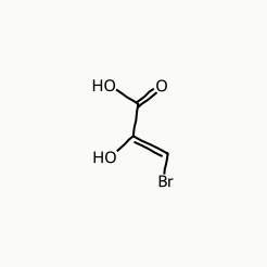 O=C(O)/C(O)=C/Br